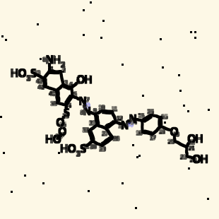 Nc1cc2c(O)c(/N=N/c3ccc(/N=N/c4ccc(OCC(O)CO)cc4)c4ccc(S(=O)(=O)O)cc34)c(SOOO)cc2cc1S(=O)(=O)O